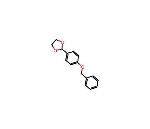 c1ccc(COc2ccc(C3OCCO3)cc2)cc1